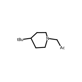 CC(=O)CN1CCC(C(C)(C)C)CC1